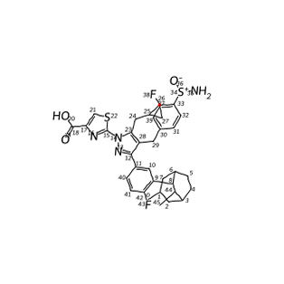 CC1CC2CCC(C1)C(c1cc(-c3nn(-c4nc(C(=O)O)cs4)c(CC4CC4)c3Cc3ccc([S+](N)[O-])c(F)c3)ccc1F)C2C